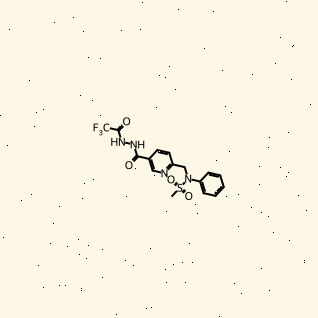 CS(=O)(=O)N(Cc1ccc(C(=O)NNC(=O)C(F)(F)F)cn1)c1ccccc1